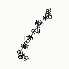 CN(CCCCNC(=O)NCCOCCOCCNC(=O)NCCCCNC(=O)NCCOCCOCCNC(=O)NCCCCN(C)S(=O)(=O)c1ccc(Cl)c(COC2(c3cnccc3-c3ccccc3OC3CC3)CC2)c1)Sc1ccc(Cl)c(COC2(c3cnccc3-c3ccccc3OC3CC3)CC2)c1